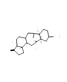 C[C@]12CCC3CC4O[C@H](C[C@H]3[C@@H]1CCC2=O)[C@@]1(Cl)CC(O)CC[C@@H]41